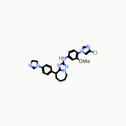 COc1cc(Nc2nc3n(n2)CCCCC3c2ccc(N3C=NCC3)cc2)ccc1-n1cnc(Cl)c1